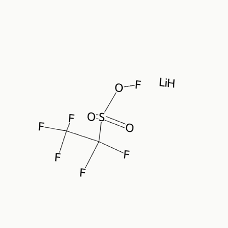 O=S(=O)(OF)C(F)(F)C(F)(F)F.[LiH]